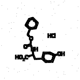 Cl.O=C(N[C@@H](Cc1ccc(O)cc1)C(=O)O)OCc1ccccc1